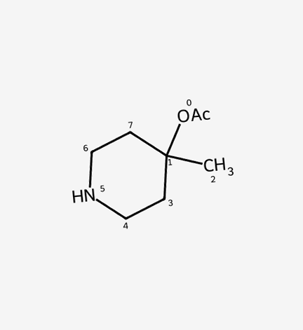 CC(=O)OC1(C)CCNCC1